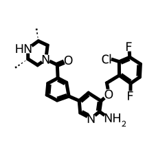 C[C@@H]1CN(C(=O)c2cccc(-c3cnc(N)c(OCc4c(F)ccc(F)c4Cl)c3)c2)C[C@H](C)N1